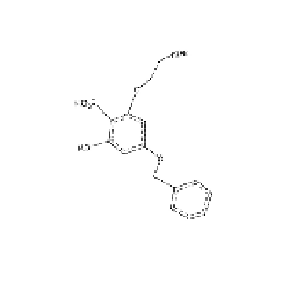 CCCCCCCCCCCCOc1cc(OCc2ccccc2)cc(O)c1C(=O)O